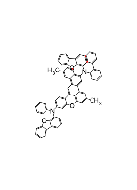 Cc1ccc2c(N(c3ccccc3-c3ccccc3)c3cccc4c3oc3ccccc34)cc3c4cc(C)cc5c4c(cc3c2c1)-c1ccc(N(c2ccccc2)c2cccc3c2oc2ccccc23)cc1O5